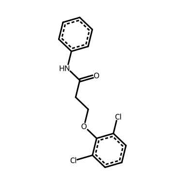 O=C(CCOc1c(Cl)cccc1Cl)Nc1ccccc1